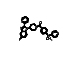 CN(c1ccncc1)c1ccc(C(=O)N2CCC(N3C(c4ccccn4)=NC4C=C(F)C=CC43)CC2)cc1